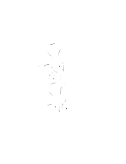 Nn1nc(C2CCCCC2)c2ccccc2c1=O.O=c1[nH]nc(C2CCCCC2)c2ccccc12